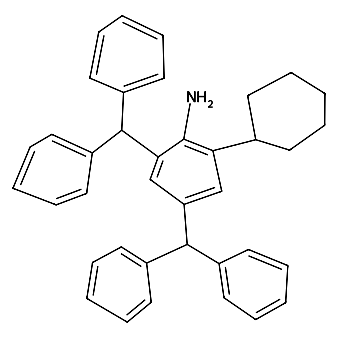 Nc1c(C2CCCCC2)cc(C(c2ccccc2)c2ccccc2)cc1C(c1ccccc1)c1ccccc1